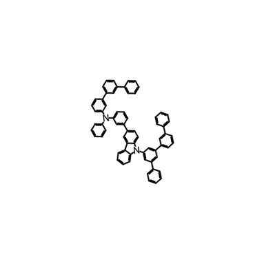 c1ccc(-c2cccc(-c3cccc(N(c4ccccc4)c4cccc(-c5ccc6c(c5)c5ccccc5n6-c5cc(-c6ccccc6)cc(-c6cccc(-c7ccccc7)c6)c5)c4)c3)c2)cc1